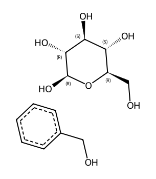 OC[C@H]1O[C@@H](O)[C@H](O)[C@@H](O)[C@@H]1O.OCc1ccccc1